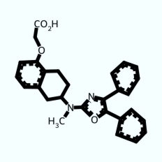 CN(c1nc(-c2ccccc2)c(-c2ccccc2)o1)C1CCc2c(cccc2OCC(=O)O)C1